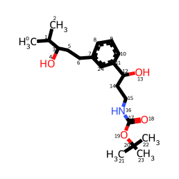 CC(C)C(O)CCc1cccc(C(O)CCNC(=O)OC(C)(C)C)c1